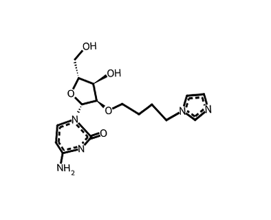 Nc1ccn([C@@H]2O[C@H](CO)[C@@H](O)[C@H]2OCCCCn2ccnc2)c(=O)n1